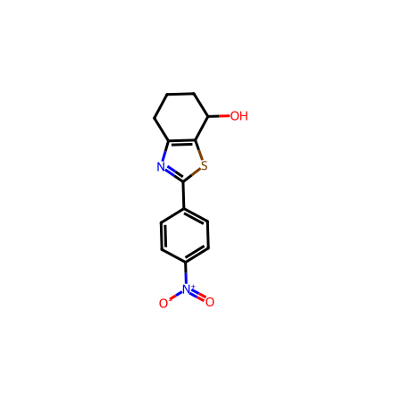 O=[N+]([O-])c1ccc(-c2nc3c(s2)C(O)CCC3)cc1